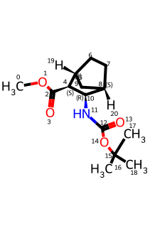 COC(=O)[C@H]1[C@@H]2CC[C@@H](C2)[C@H]1NC(=O)OC(C)(C)C